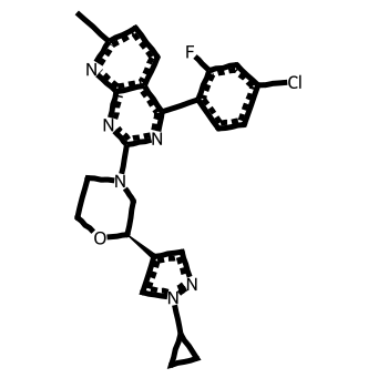 Cc1ccc2c(-c3ccc(Cl)cc3F)nc(N3CCO[C@H](c4cnn(C5CC5)c4)C3)nc2n1